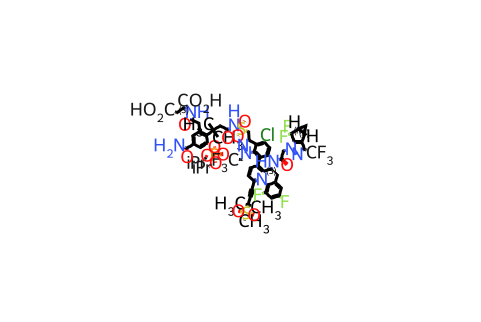 CC(C)OP(=O)(Oc1cc(C(N)=O)cc(CC(=O)N[C@@H](CC(=O)O)C(=O)O)c1C(C)(C)CC(=O)NS(=O)(=O)Cc1nn(CC(F)(F)F)c2c(-c3ccc(C#CC(C)(C)S(C)(=O)=O)nc3[C@H](Cc3cc(F)cc(F)c3)NC(=O)Cn3nc(C(F)(F)F)c4c3C(F)(F)[C@@H]3C[C@H]43)ccc(Cl)c12)OC(C)C